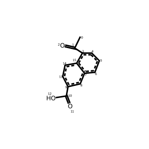 CC(=O)c1cccc2cc(C(=O)O)ccc12